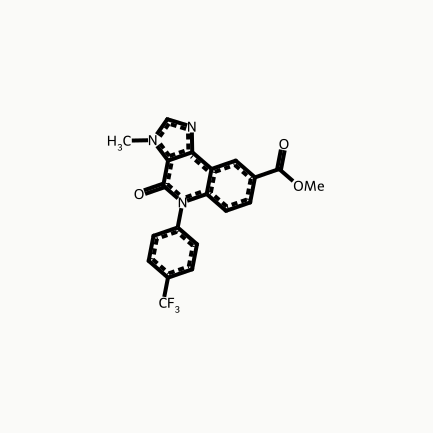 COC(=O)c1ccc2c(c1)c1ncn(C)c1c(=O)n2-c1ccc(C(F)(F)F)cc1